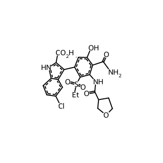 CCS(=O)(=O)c1c(-c2c(C(=O)O)[nH]c3ccc(Cl)cc23)[c]c(O)c(C(N)=O)c1NC(=O)C1CCOC1